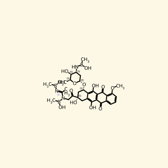 COc1cccc2c1C(=O)c1c(O)c3c(c(O)c1C2=O)C[C@@](O)(C(=O)CN(B(C)O)/C(C)=N/B(C)O)C[C@@H]3O[C@H]1C[C@H](NB(C)O)[C@H](O)[C@H](C)O1